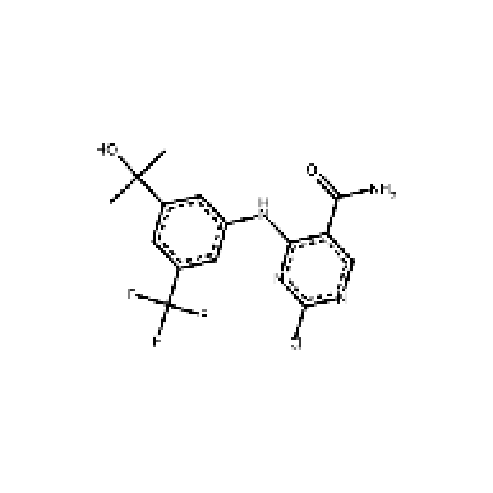 CC(C)(O)c1cc(Nc2nc(Cl)ncc2C(N)=O)cc(C(F)(F)F)c1